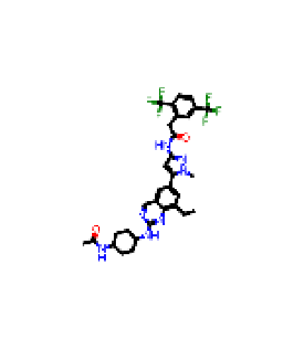 CCc1cc(-c2cc(NC(=O)Cc3cc(C(F)(F)F)ccc3C(F)(F)F)nn2C)cc2cnc(NC3CCC(NC(C)=O)CC3)nc12